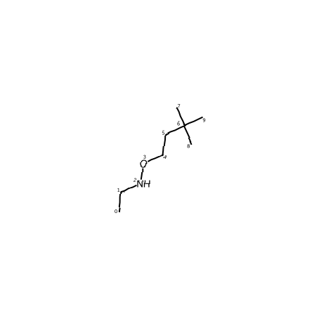 C[CH]NOCCC(C)(C)C